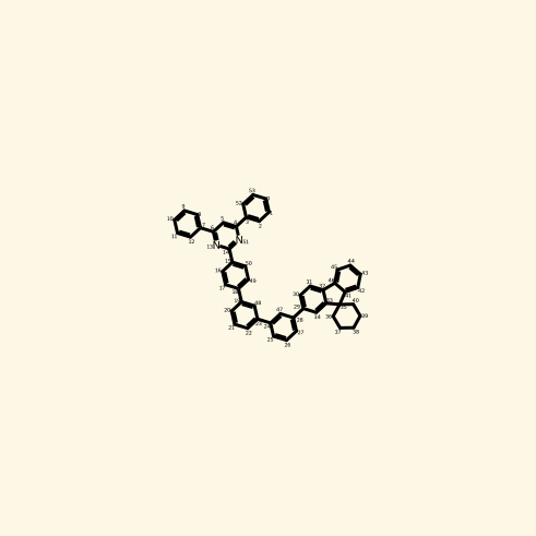 c1ccc(-c2cc(-c3ccccc3)nc(-c3ccc(-c4cccc(-c5cccc(-c6ccc7c(c6)C6(CCCCC6)c6ccccc6-7)c5)c4)cc3)n2)cc1